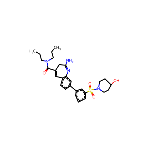 CCCN(CCC)C(=O)C1=Cc2ccc(-c3cccc(S(=O)(=O)N4CCC(O)CC4)c3)cc2N=C(N)C1